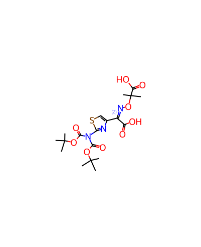 CC(C)(C)OC(=O)N(C(=O)OC(C)(C)C)c1nc(/C(=N/OC(C)(C)C(=O)O)C(=O)O)cs1